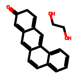 O=C1C=c2cc3ccc4ccccc4c3cc2=CC1.OCCO